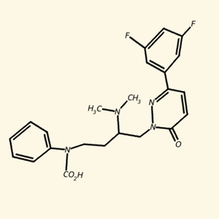 CN(C)C(CCN(C(=O)O)c1ccccc1)Cn1nc(-c2cc(F)cc(F)c2)ccc1=O